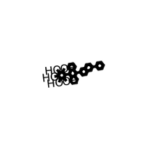 Oc1c(O)c(O)c(-c2c3c(c(-c4ccc5cc(-c6ccccc6)ccc5c4)c4ccccc24)=CCCC=3)c(O)c1O